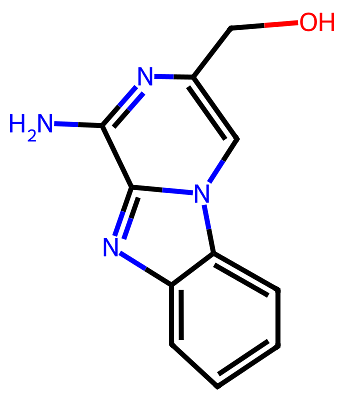 Nc1nc(CO)cn2c1nc1ccccc12